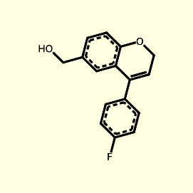 OCc1ccc2c(c1)C(c1ccc(F)cc1)=CCO2